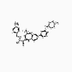 CCCN(OCc1ccc(N)cc1)C(=O)C1=Cc2ccc(-c3cccc(SN4CCN(C)CC4)c3)cc2N=C(N)C1